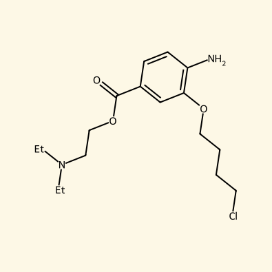 CCN(CC)CCOC(=O)c1ccc(N)c(OCCCCCl)c1